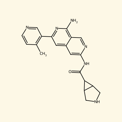 Cc1ccncc1-c1cc2cc(NC(=O)C3C4CNCC43)ncc2c(N)n1